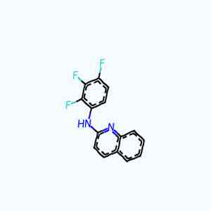 Fc1ccc(Nc2ccc3ccccc3n2)c(F)c1F